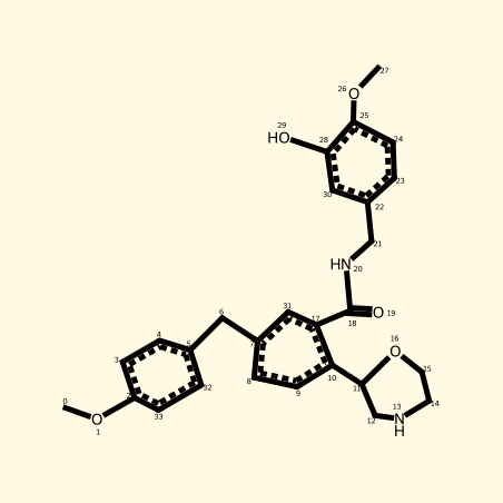 COc1ccc(Cc2ccc(C3CNCCO3)c(C(=O)NCc3ccc(OC)c(O)c3)c2)cc1